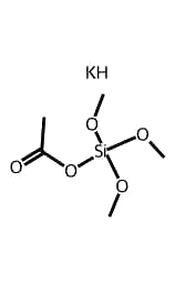 CO[Si](OC)(OC)OC(C)=O.[KH]